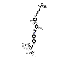 C=C(C)C(=O)OCCCCCCOc1ccc(C(=O)Oc2ccc(OC(=O)/C=C/c3ccc(-c4ccc(OCCC(C)(COC(=O)C(=C)C)COC(=O)C(=C)C)cc4)cc3)c(C)c2)c(CC)c1